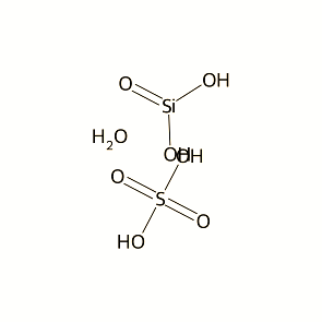 O.O=S(=O)(O)O.O=[Si](O)O